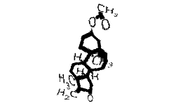 C=C1C(=O)C[C@H]2[C@@H]3CC=C4C[C@@H](OC(C)=O)CC[C@]4(C)[C@H]3CC[C@]12C